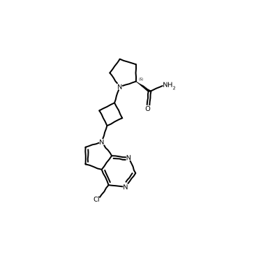 NC(=O)[C@@H]1CCCN1C1CC(n2ccc3c(Cl)ncnc32)C1